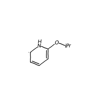 CC(C)OC1=CC=C[CH]N1